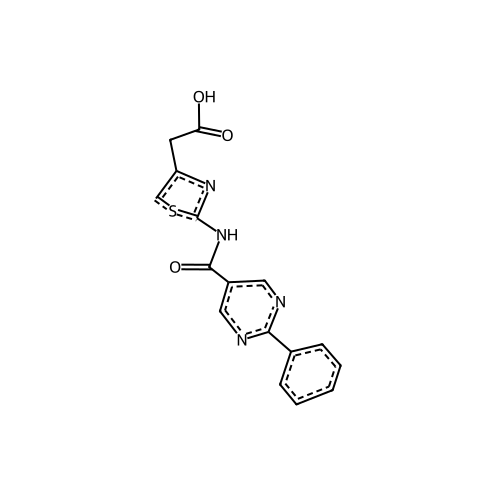 O=C(O)Cc1csc(NC(=O)c2cnc(-c3ccccc3)nc2)n1